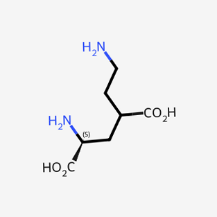 NCCC(C[C@H](N)C(=O)O)C(=O)O